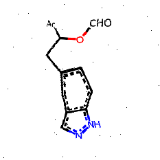 CC(=O)C(Cc1ccc2[nH]ncc2c1)OC=O